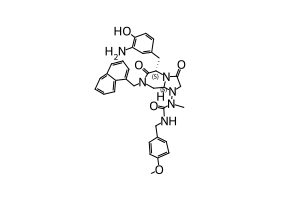 COc1ccc(CNC(=O)N(C)N2CC(=O)N3[C@@H](Cc4ccc(O)c(N)c4)C(=O)N(Cc4cccc5ccccc45)C[C@@H]32)cc1